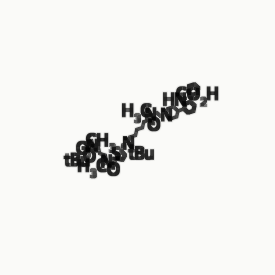 CN(CCN1CCC(c2cccc(-c3ccccc3)c2NC(=O)O)CC1)C(=O)CCCCCN(Cc1ccc(C(=O)N(C)CCCN(C)C(=O)OC(C)(C)C)s1)CC(C)(C)C